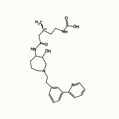 C[C@@H](CCNC(=O)O)CC(=O)NC1CCCN(CCc2cccc(-c3ccccn3)c2)CC1O